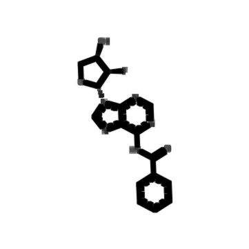 O=C(Nc1ncnc2c1ncn2[C@@H]1OC[C@@H](O)[C@H]1F)c1ccccc1